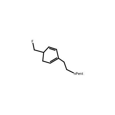 CCCCCCCC1=CCC(CF)C=C1